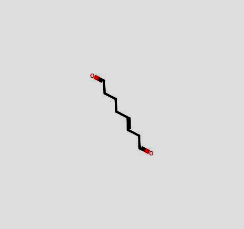 O=CC/C=C/CCCC=O